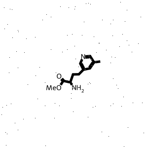 COC(=O)C(N)CCc1cncc(C)c1